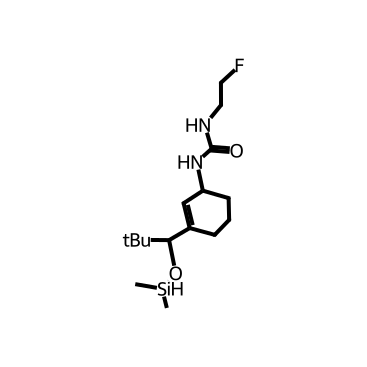 C[SiH](C)OC(C1=CC(NC(=O)NCCF)CCC1)C(C)(C)C